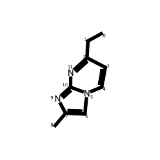 CCc1ccn2cc(C)nc2n1